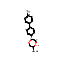 CCCC[C@H]1CO[C@H](c2ccc(-c3ccc(CCC)cc3)cc2)CO1